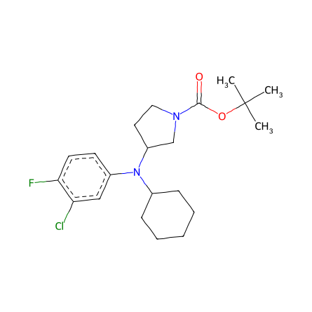 CC(C)(C)OC(=O)N1CCC(N(c2ccc(F)c(Cl)c2)C2CCCCC2)C1